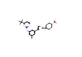 Cc1cc(Nc2nccc(C(C)(C)C)n2)cc(-c2cnc([C@]3(O)CC[C@@H](C(=O)O)CC3)s2)c1